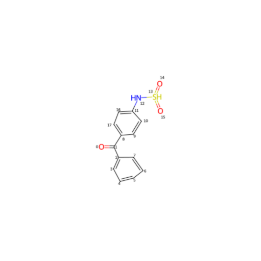 O=C(c1ccccc1)c1ccc(N[SH](=O)=O)cc1